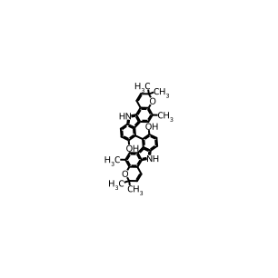 Cc1cc2c([nH]c3ccc(O)c(-c4c(O)ccc5[nH]c6c7c(c(C)cc6c45)OC(C)(C)C=C7)c32)c2c1OC(C)(C)C=C2